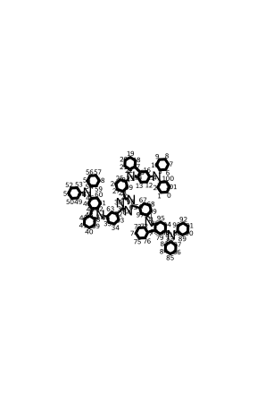 c1ccc(N(c2ccccc2)c2ccc3c(c2)c2ccccc2n3-c2cccc(-c3nc(-c4cccc(-n5c6ccccc6c6cc(N(c7ccccc7)c7ccccc7)ccc65)c4)nc(-c4cccc(-n5c6ccccc6c6cc(N(c7ccccc7)c7ccccc7)ccc65)c4)n3)c2)cc1